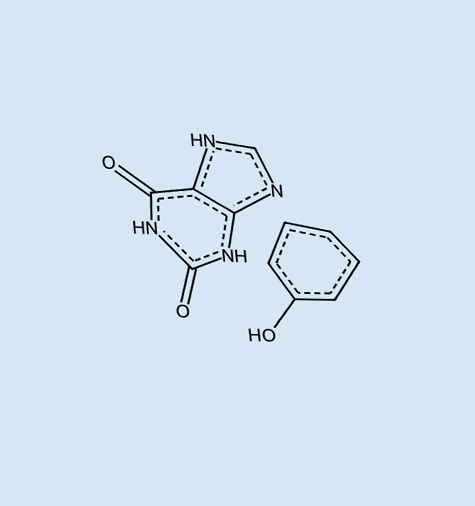 O=c1[nH]c(=O)c2[nH]cnc2[nH]1.Oc1ccccc1